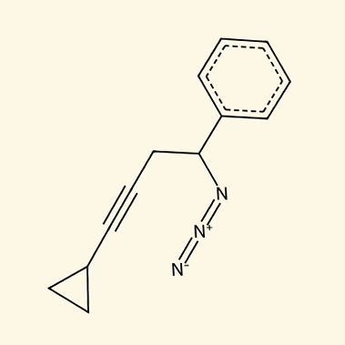 [N-]=[N+]=NC(CC#CC1CC1)c1ccccc1